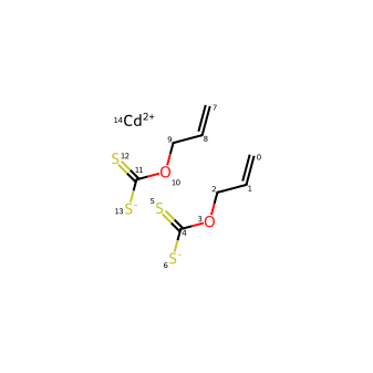 C=CCOC(=S)[S-].C=CCOC(=S)[S-].[Cd+2]